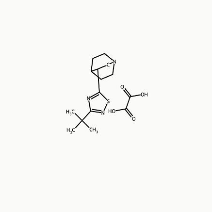 CC(C)(C)c1nsc(C2CN3CCC2CC3)n1.O=C(O)C(=O)O